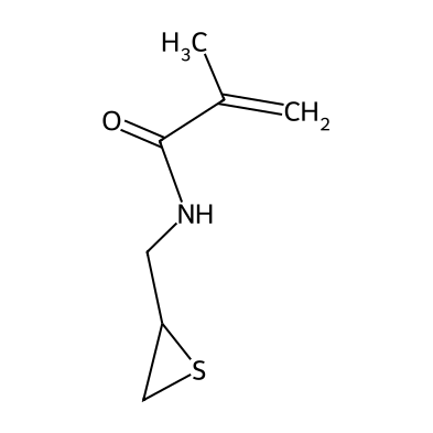 C=C(C)C(=O)NCC1CS1